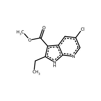 CCc1[nH]c2ncc(Cl)cc2c1C(=O)OC